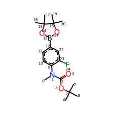 CN(C(=O)OC(C)(C)C)c1ccc(B2OC(C)(C)C(C)(C)O2)cc1F